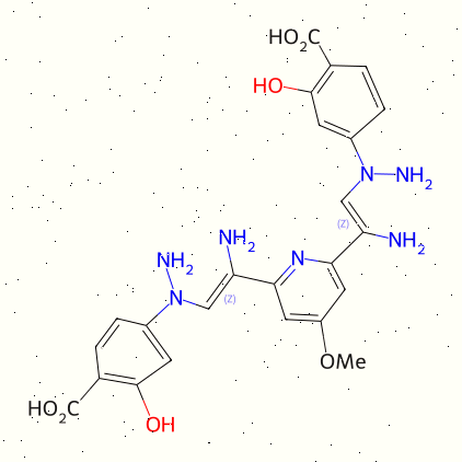 COc1cc(/C(N)=C/N(N)c2ccc(C(=O)O)c(O)c2)nc(/C(N)=C/N(N)c2ccc(C(=O)O)c(O)c2)c1